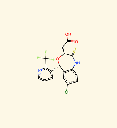 O=C(O)C[C@@H]1O[C@@H](c2cccnc2C(F)(F)F)c2cc(Cl)ccc2NC1=S